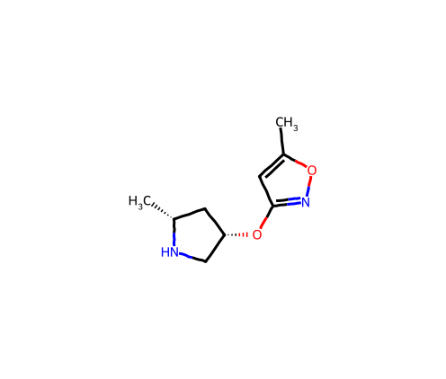 Cc1cc(O[C@@H]2CN[C@H](C)C2)no1